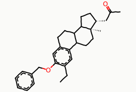 CCc1cc2c(cc1OCc1ccccc1)CCC1C2CC[C@@]2(C)C1CC[C@@H]2CC(C)=O